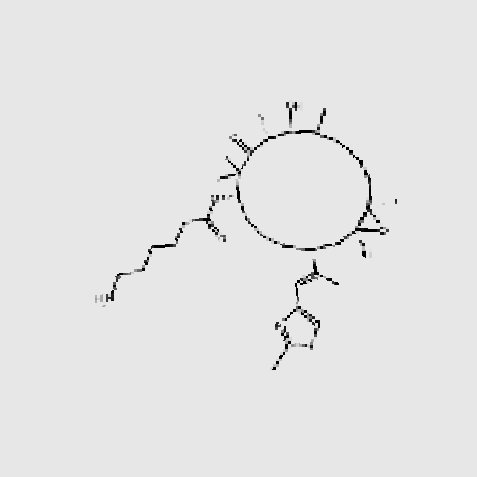 C/C(=C\c1csc(C)n1)[C@H]1CCC[C@H](OC(=O)CCCCCN)C(C)(C)C(=O)[C@H](C)[C@@H](O)[C@@H](C)CCC[C@@]2(C)O[C@H]2C1